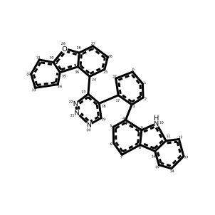 c1ccc(-c2cccc3c2[nH]c2ccccc23)c(-c2cnnnc2-c2cccc3oc4ccccc4c23)c1